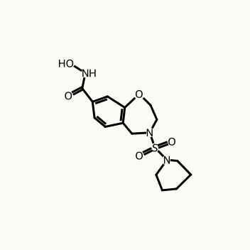 O=C(NO)c1ccc2c(c1)OCCN(S(=O)(=O)N1CCCCC1)C2